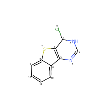 ClC1NC=Nc2c1sc1ccccc21